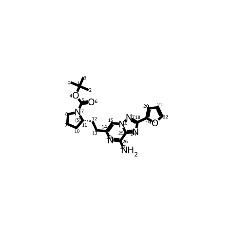 CC(C)(C)OC(=O)N1CCC[C@H]1CCc1cn2nc(-c3ccco3)nc2c(N)n1